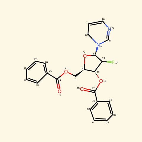 O=C(OC[C@H]1O[C@@H](N2C=NC=CC2)[C@@H](F)[C@@H]1OC(=O)c1ccccc1)c1ccccc1